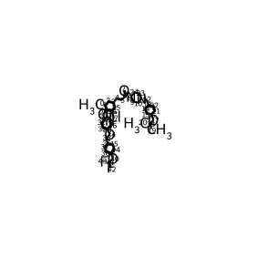 Cc1cc(C=CC(=O)N2CCN(Cc3ccc(OC(C)C)cc3)CC2)cc(Cl)c1Oc1ccc(OCc2ccc(OC(F)F)cc2)cn1